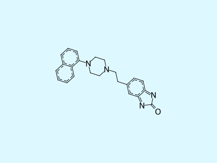 O=C1N=c2ccc(CCN3CCN(c4cccc5ccccc45)CC3)cc2=N1